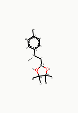 Cc1ccc([C@@H](C)CB2OC(C)(C)C(C)(C)O2)cc1